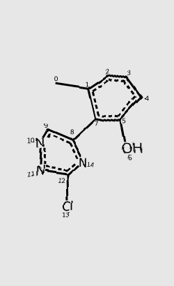 Cc1cccc(O)c1-c1cnnc(Cl)n1